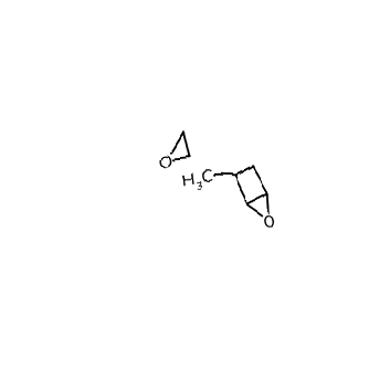 C1CO1.CC1CC2OC12